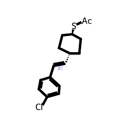 CC(=O)S[C@H]1CC[C@H](/C=C/c2ccc(Cl)cc2)CC1